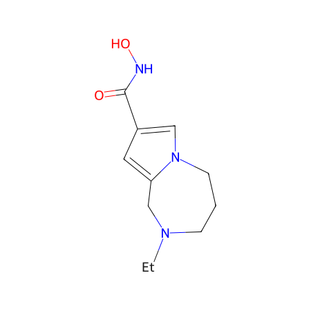 CCN1CCCn2cc(C(=O)NO)cc2C1